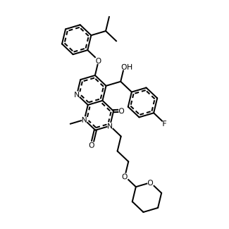 CC(C)c1ccccc1Oc1cnc2c(c1C(O)c1ccc(F)cc1)c(=O)n(CCCOC1CCCCO1)c(=O)n2C